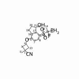 CC1(C#N)CC(Oc2ccc(S(=O)(=O)C(C)(F)P)c3c2CCC3O)C1